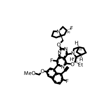 C#Cc1c(F)ccc2cc(OCOC)cc(-c3nc4c5c(nc(OC[C@@]67CCCN6C[C@H](F)C7)nc5c3F)N3C[C@H]5CC[C@H](C5)[C@H]3[C@H](CC)O4)c12